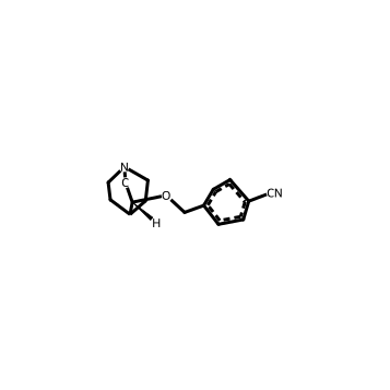 N#Cc1ccc(CO[C@H]2CN3CCC2CC3)cc1